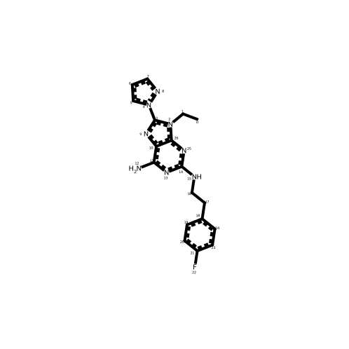 CCn1c(-n2cccn2)nc2c(N)nc(NCCc3ccc(F)cc3)nc21